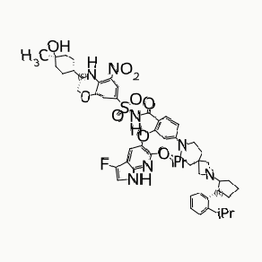 CC(C)Oc1nc2[nH]cc(F)c2cc1Oc1cc(N2CCC3(CC2)CN(C2CCC[C@@H]2c2ccccc2C(C)C)C3)ccc1C(=O)NS(=O)(=O)c1cc2c(c([N+](=O)[O-])c1)N[C@@H]([C@H]1CC[C@](C)(O)CC1)CO2